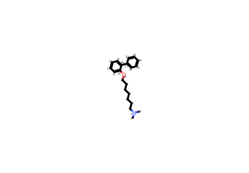 CN(C)CCCCCCCOc1ccccc1-c1ccccc1